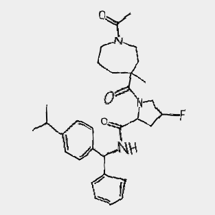 CC(=O)N1CCCC(C)(C(=O)N2CC(F)CC2C(=O)NC(c2ccccc2)c2ccc(C(C)C)cc2)CC1